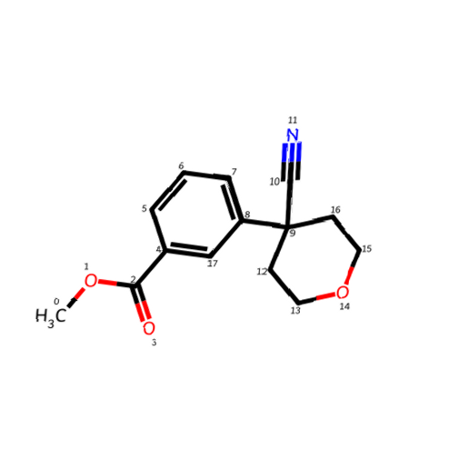 COC(=O)c1cccc(C2(C#N)CCOCC2)c1